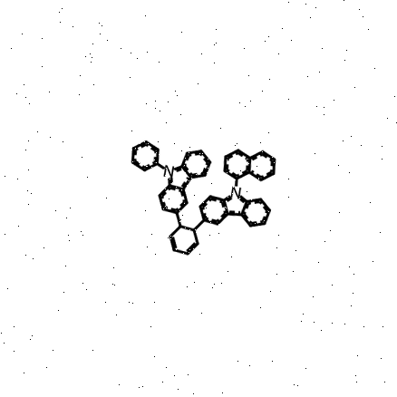 C1=CC(c2ccc3c(c2)c2ccccc2n3-c2ccccc2)C(c2ccc3c(c2)c2ccccc2n3-c2cccc3ccccc23)C=C1